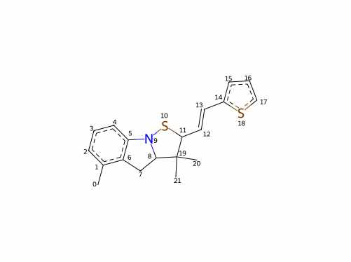 Cc1cccc2c1CC1N2SC(C=Cc2cccs2)C1(C)C